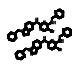 Brc1cnc(Nc2ccc3c(ccn3Cc3ccccc3)c2)nc1NCc1ccccn1.Brc1cnc(Nc2ccc3c(cnn3Cc3ccccn3)c2)nc1NCc1ccccn1